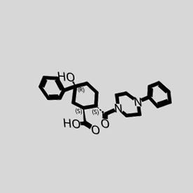 O=C(O)[C@H]1C[C@@](O)(c2ccccc2)CC[C@@H]1C(=O)N1CCN(c2ccccc2)CC1